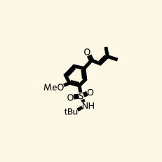 COc1ccc(C(=O)C=C(C)C)cc1S(=O)(=O)NC(C)(C)C